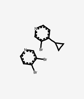 Brc1ccncc1Br.Brc1cnccc1C1CC1